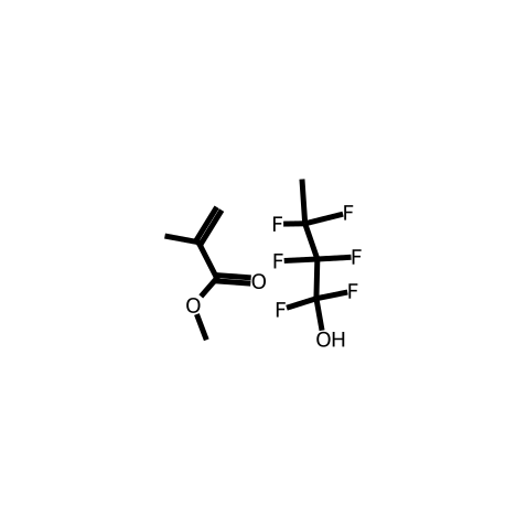 C=C(C)C(=O)OC.CC(F)(F)C(F)(F)C(O)(F)F